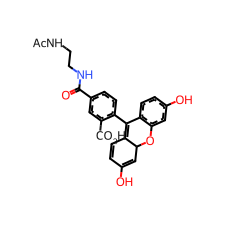 CC(=O)NCCNC(=O)c1ccc(C2=C3C=CC(O)=CC3Oc3cc(O)ccc32)c(C(=O)O)c1